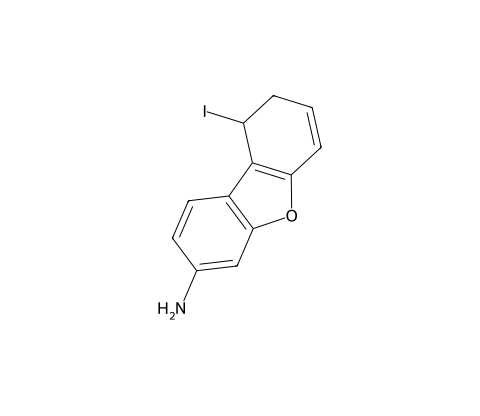 Nc1ccc2c3c(oc2c1)C=CCC3I